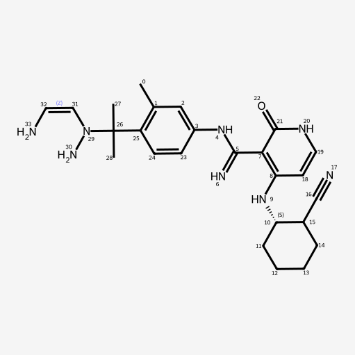 Cc1cc(NC(=N)c2c(N[C@H]3CCCCC3C#N)cc[nH]c2=O)ccc1C(C)(C)N(N)/C=C\N